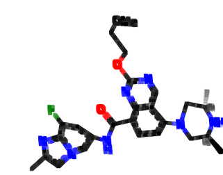 COCCOc1ncc2c(N3C[C@H](C)N[C@@H](C)C3)ccc(C(=O)Nc3cc(F)c4nc(C)cn4c3)c2n1